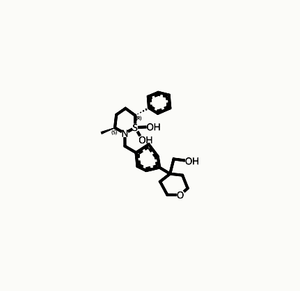 C[C@H]1CC[C@H](c2ccccc2)S(O)(O)N1Cc1ccc(C2(CO)CCOCC2)cc1